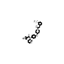 O=C(Cc1cccc(C(F)(F)F)c1)N1CCC(Oc2ccc(N(C(=O)C3CNC3)c3cccnn3)cc2)CC1